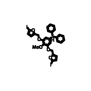 COc1c(OCc2ccc(I)o2)cc([SH](c2ccccc2)c2ccccc2)cc1OCc1ccc(I)o1